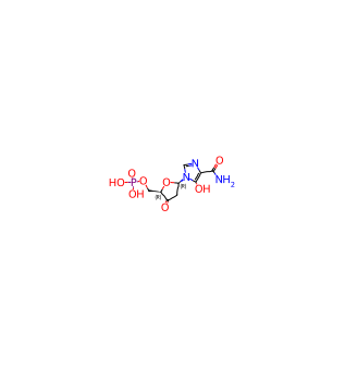 NC(=O)c1ncn([C@H]2CC(=O)[C@@H](COP(=O)(O)O)O2)c1O